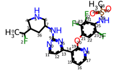 CC(F)C1CNCC(Nc2nccc(-c3cccnc3Oc3cc(F)c(NS(C)(=O)=O)c(F)c3F)n2)C1